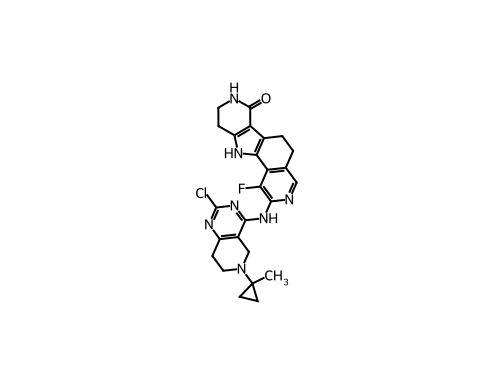 CC1(N2CCc3nc(Cl)nc(Nc4ncc5c(c4F)-c4[nH]c6c(c4CC5)C(=O)NCC6)c3C2)CC1